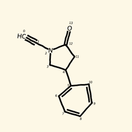 C#CN1CC(c2ccccc2)CC1=O